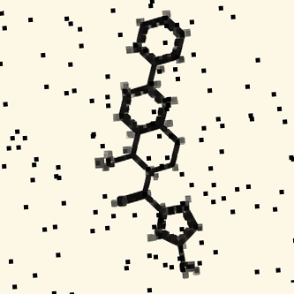 Cc1cnc(C(=O)N2CCc3nc(-c4ccccn4)ncc3C2C)s1